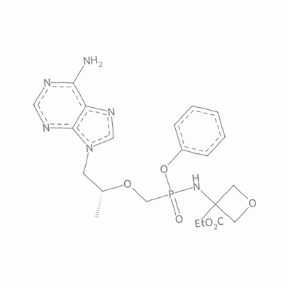 CCOC(=O)C1(NP(=O)(CO[C@H](C)Cn2cnc3c(N)ncnc32)Oc2ccccc2)COC1